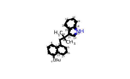 CC(C)(C)c1cccc2c(CC(C)(C)c3c[nH]c4ccccc34)cccc12